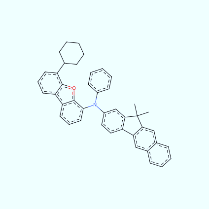 CC1(C)c2cc(N(c3ccccc3)c3cccc4c3oc3c(C5CCCCC5)cccc34)ccc2-c2cc3ccccc3cc21